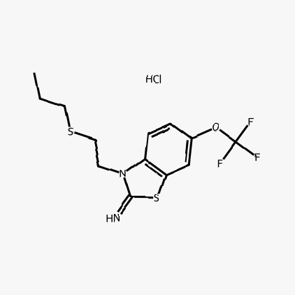 CCCSCCn1c(=N)sc2cc(OC(F)(F)F)ccc21.Cl